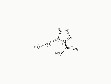 C=CC(=O)O.CCOC(N)=O.O=c1[nH]cco1